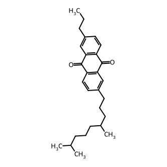 CCCc1ccc2c(c1)C(=O)c1ccc(CCCC(C)CCCC(C)C)cc1C2=O